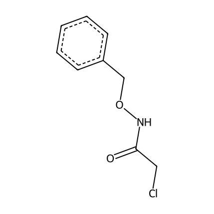 O=C(CCl)NOCc1ccccc1